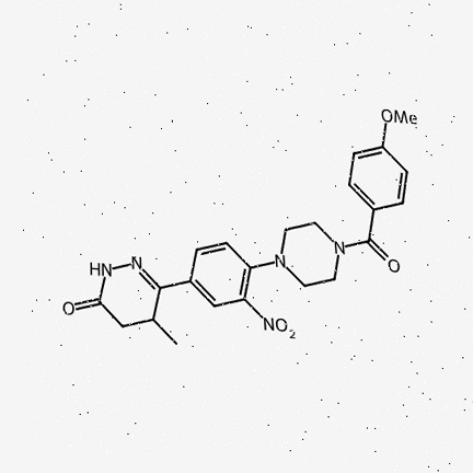 COc1ccc(C(=O)N2CCN(c3ccc(C4=NNC(=O)CC4C)cc3[N+](=O)[O-])CC2)cc1